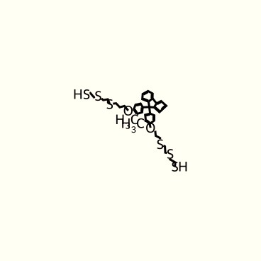 Cc1cc(C2(c3ccc(OCCCSCCSCCS)c(C)c3)c3ccccc3-c3ccccc32)ccc1OCCCSCCSCCS